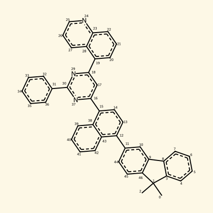 CC1(C)c2ccccc2-c2cc(-c3ccc(-c4cc(-c5cccc6ncccc56)nc(-c5ccccc5)n4)c4ccccc34)ccc21